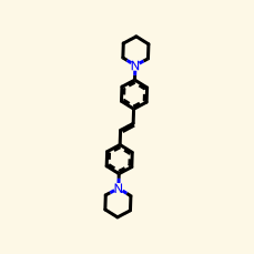 C(=Cc1ccc(N2CCCCC2)cc1)c1ccc(N2CCCCC2)cc1